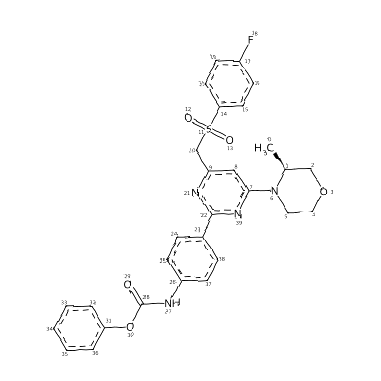 C[C@H]1COCCN1c1cc(CS(=O)(=O)c2ccc(F)cc2)nc(-c2ccc(NC(=O)Oc3ccccc3)cc2)n1